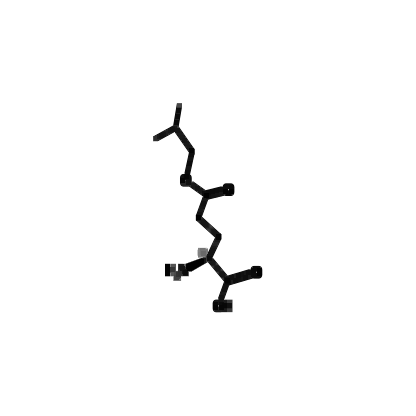 CC(C)COC(=O)CC[C@H](N)C(=O)O